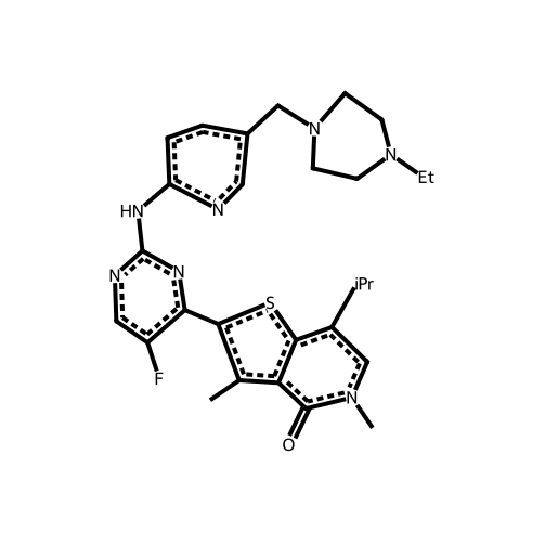 CCN1CCN(Cc2ccc(Nc3ncc(F)c(-c4sc5c(C(C)C)cn(C)c(=O)c5c4C)n3)nc2)CC1